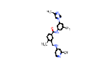 Cc1cn(-c2cc(NC(=O)c3ccc(C)c(CNc4ccnc(C#N)c4)c3)cc(C(F)(F)F)c2)cn1